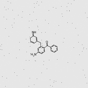 N=C1C=C(Cc2cc(N)ccc2C(=O)c2ccccc2)C=CC1